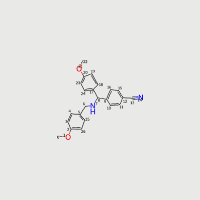 COc1ccc(CNC(c2ccc(C#N)cc2)c2ccc(OC)cc2)cc1